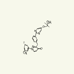 CC(C)(O)COc1cnc(-c2cccc(Cc3nn(-c4cc(F)cc(C#N)c4)ccc3=O)c2)nc1